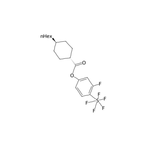 CCCCCC[C@H]1CC[C@H](C(=O)Oc2ccc(S(F)(F)(F)(F)F)c(F)c2)CC1